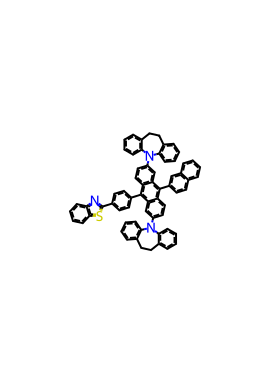 c1ccc2c(c1)CCc1ccccc1N2c1ccc2c(-c3ccc4ccccc4c3)c3cc(N4c5ccccc5CCc5ccccc54)ccc3c(-c3ccc(-c4nc5ccccc5s4)cc3)c2c1